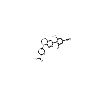 Cc1cc(C#N)cc(O)c1-c1cc2c(nn1)N([C@@H]1CC[C@@H](C(=O)O)NC1)CCC2